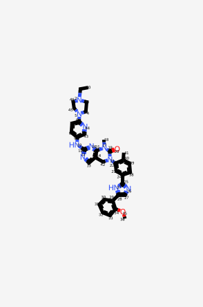 CCN1CCN(c2ccc(Nc3ncc4c(n3)N(C)C(=O)N(c3cc(-c5ncc(-c6ccccc6OC)[nH]5)ccc3C)C4)cn2)CC1